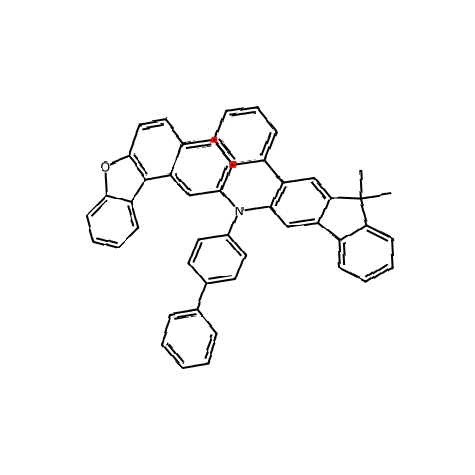 CC1(C)c2ccccc2-c2cc(N(c3ccc(-c4ccccc4)cc3)c3ccc4ccc5oc6ccccc6c5c4c3)c(-c3ccccc3)cc21